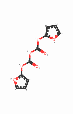 O=C(OC(=O)Oc1ccco1)Oc1ccco1